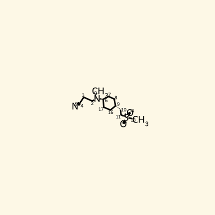 CN(CCC#N)[C@H]1CC[C@H](CCS(C)(=O)=O)CC1